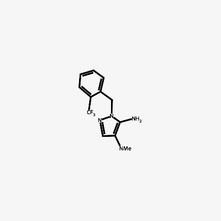 CNc1cnn(Cc2ccccc2C(F)(F)F)c1N